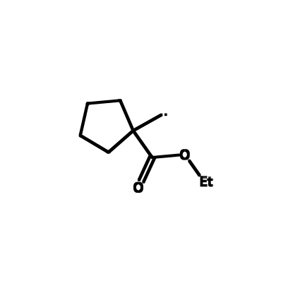 [CH2]C1(C(=O)OCC)CCCC1